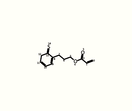 C=CC(=O)OCCCC1=CC=CCC1=S